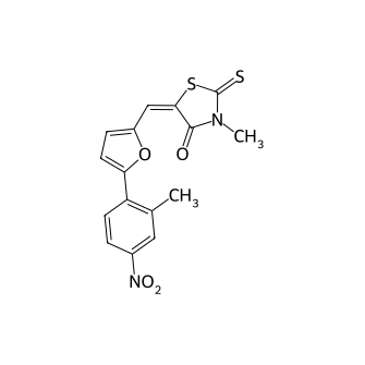 Cc1cc([N+](=O)[O-])ccc1-c1ccc(C=C2SC(=S)N(C)C2=O)o1